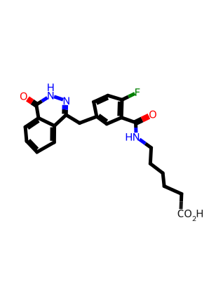 O=C(O)CCCCCNC(=O)c1cc(Cc2n[nH]c(=O)c3ccccc23)ccc1F